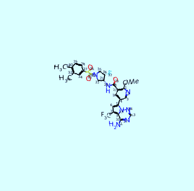 COc1ncc(-c2cc(C(F)(F)F)c3c(N)ncnn23)cc1C(=O)N[C@@H]1CN(S(=O)(=O)c2ccc(C)c(C)c2)C[C@@H]1F